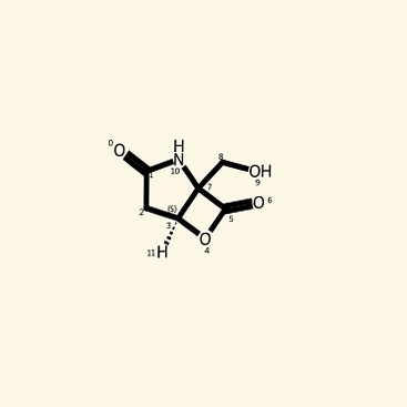 O=C1C[C@@H]2OC(=O)C2(CO)N1